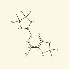 CC1(C)Cc2cc(B3OC(C)(C)C(C)(C)O3)cc(C#N)c2O1